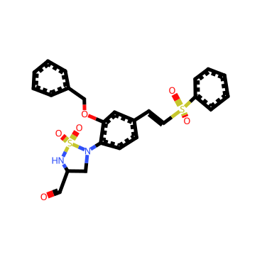 O=CC1CN(c2ccc(/C=C/S(=O)(=O)c3ccccc3)cc2OCc2ccccc2)S(=O)(=O)N1